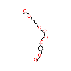 C(CCCOCC1OC1C1OC1COCC1CCC(COCC2CO2)CC1)CCOCC1CO1